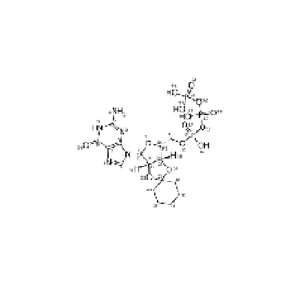 Nc1nc2c(ncn2[C@@H]2O[C@H](COP(=O)(O)OP(=O)(O)OP(=O)(O)O)[C@@H]3OC4(CCCCC4)O[C@@H]32)c(=O)[nH]1